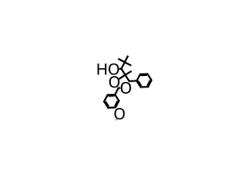 COc1cccc(C(=O)OC(c2ccccc2)C(C)(C)C(O)C(C)(C)C)c1